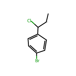 C[CH]C(Cl)c1ccc(Br)cc1